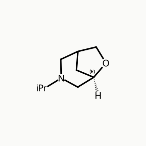 CC(C)N1CC2CO[C@H](C2)C1